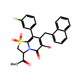 COC(=O)C1CS(=O)(=O)c2c(-c3cccc(F)c3)c(Cc3cccc4ccccc34)c(Br)c(=O)n21